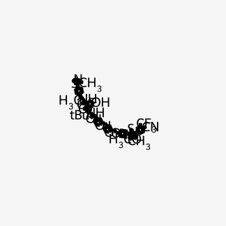 Cc1ncsc1-c1ccc([C@H](C)NC(=O)[C@@H]2C[C@@H](O)CN2C(=O)[C@@H](NC(=O)CN2CCO[C@@H](CN3CCO[C@H](COc4ccc(N5C(=S)N(c6ccc(C#N)c(C(F)(F)F)c6)C(=O)C5(C)C)cc4)C3)C2)C(C)(C)C)cc1